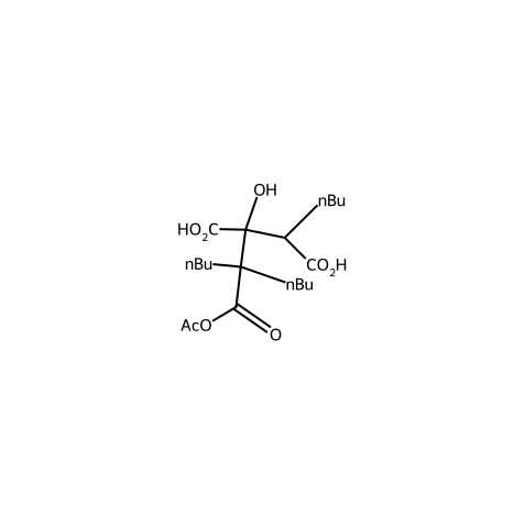 CCCCC(C(=O)O)C(O)(C(=O)O)C(CCCC)(CCCC)C(=O)OC(C)=O